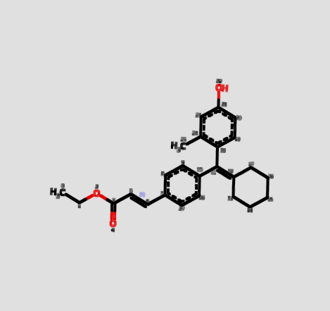 CCOC(=O)/C=C/c1ccc(C(=C2CCCCC2)c2ccc(O)cc2C)cc1